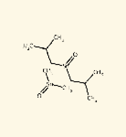 CC(C)[CH2][Sn](=[O])[CH2]C(C)C.[CH3][Sn]([CH3])=[O]